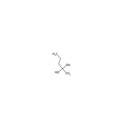 CCCC(C)(O)O